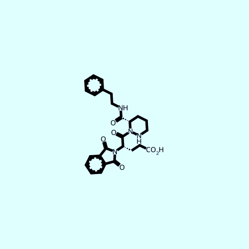 O=C(O)CC[C@@H](C(=O)N1NCCC[C@H]1C(=O)NCCc1ccccc1)N1C(=O)c2ccccc2C1=O